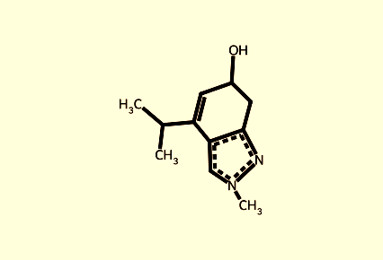 CC(C)C1=CC(O)Cc2nn(C)cc21